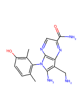 Cc1ccc(O)c(C)c1-n1c(N)c(CN)c2nc(C(N)=O)cnc21